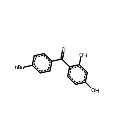 CCCCc1ccc(C(=O)c2ccc(O)cc2O)cc1